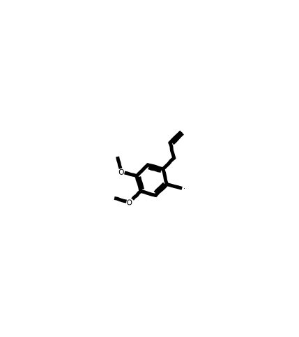 [CH2]c1cc(OC)c(OC)cc1CC=C